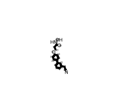 N#CCc1cccc(-c2ccc(OCCC(=O)NO)cc2)c1